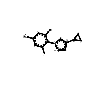 Cc1cc(Br)cc(C)c1-n1cc(C2CC2)cn1